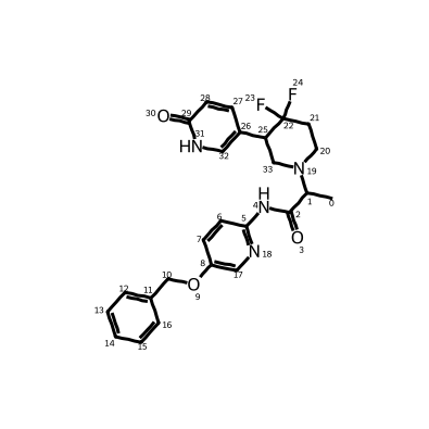 CC(C(=O)Nc1ccc(OCc2ccccc2)cn1)N1CCC(F)(F)C(c2ccc(=O)[nH]c2)C1